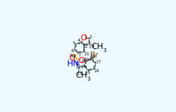 Cc1coc2ccc(S(=O)(=O)NC(C)c3cccc(Br)c3)cc12